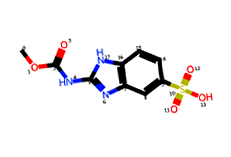 COC(=O)Nc1nc2cc(S(=O)(=O)O)ccc2[nH]1